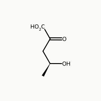 C[C@H](O)CC(=O)C(=O)O